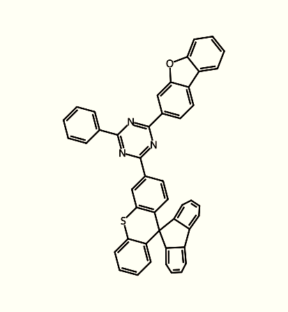 c1ccc(-c2nc(-c3ccc4c(c3)Sc3ccccc3C43c4ccccc4-c4ccccc43)nc(-c3ccc4c(c3)oc3ccccc34)n2)cc1